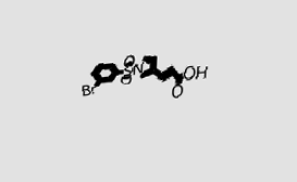 O=C(O)/C=C/c1ccn(S(=O)(=O)c2cccc(Br)c2)c1